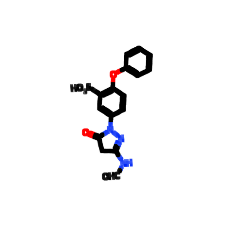 O=CNC1=NN(c2ccc(Oc3ccccc3)c(S(=O)(=O)O)c2)C(=O)C1